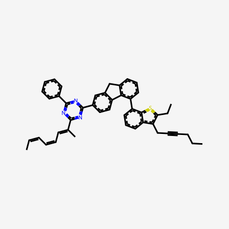 C\C=C/C=C\C=C(/C)c1nc(-c2ccccc2)nc(-c2ccc3c(c2)Cc2cccc(-c4cccc5c(CC#CCCC)c(CC)sc45)c2-3)n1